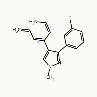 C=C/C=C(\C=C/N)c1cn(C)nc1-c1cccc(F)c1